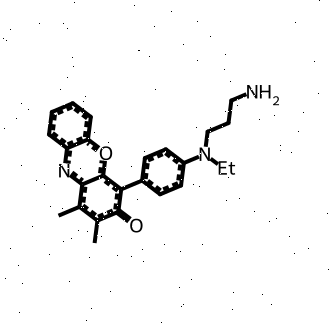 CCN(CCCN)c1ccc(-c2c3oc4ccccc4nc-3c(C)c(C)c2=O)cc1